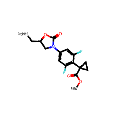 CC(=O)NCC1CN(c2cc(F)c(C3(C(=O)OC(C)(C)C)CC3)c(F)c2)C(=O)O1